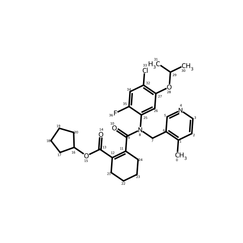 Cc1ccncc1CN(C(=O)C1=C(C(=O)OC2CCCC2)CCCC1)c1cc(OC(C)C)c(Cl)cc1F